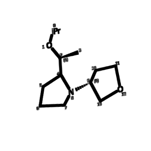 CC(C)O[C@@H](C)C1CCCN1[C@@H]1CCOC1